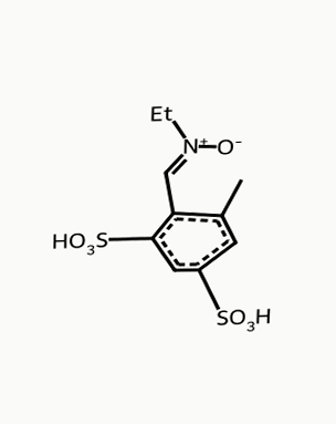 CC[N+]([O-])=Cc1c(C)cc(S(=O)(=O)O)cc1S(=O)(=O)O